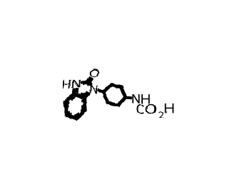 O=C(O)NC1CCC(n2c(=O)[nH]c3ccccc32)CC1